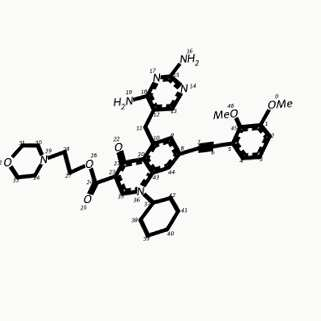 COc1cccc(C#Cc2cc(Cc3cnc(N)nc3N)c3c(=O)c(C(=O)OCCN4CCOCC4)cn(C4CCCCC4)c3c2)c1OC